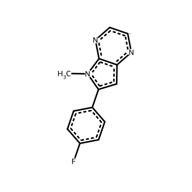 Cn1c(-c2ccc(F)cc2)cc2n[c]cnc21